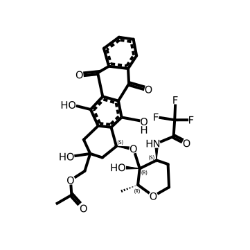 CC(=O)OCC1(O)Cc2c(O)c3c(c(O)c2[C@@H](O[C@]2(O)[C@@H](NC(=O)C(F)(F)F)CCO[C@@H]2C)C1)C(=O)c1ccccc1C3=O